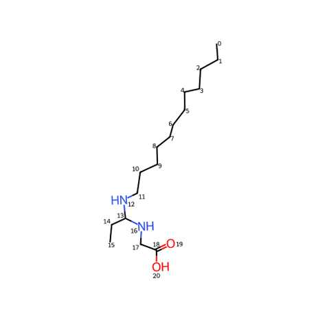 CCCCCCCCCCCCNC(CC)NCC(=O)O